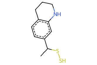 CC(SS)c1ccc2c(c1)NCCC2